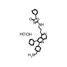 Cl.Cl.NCc1ccc(-c2nc3ccnc(CCCNC4=NC(=O)C(c5ccccc5)O4)c3cc2-c2ccccc2)cc1